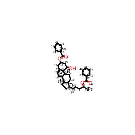 CC(C)C(CC[C@@H](C)[C@H]1CC[C@H]2C3=CC=C4C[C@@H](OC(=O)c5ccccc5)C[C@H](O)[C@]4(C)[C@H]3CC[C@]12C)OC(=O)c1ccccc1